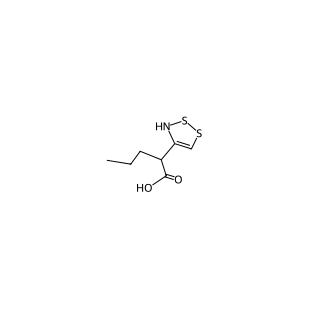 CCCC(C(=O)O)C1=CSSN1